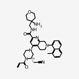 C=CC(=O)N1CCN(c2cc(C(=O)NCC3(N)CCOCC3)nc3c2CCN(c2cccc4cccc(C)c24)C3)C[C@@H]1CC#N